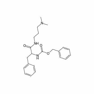 CN(C)CCCNC(=O)C(Cc1cc[c]cc1)NC(=O)OCc1ccccc1